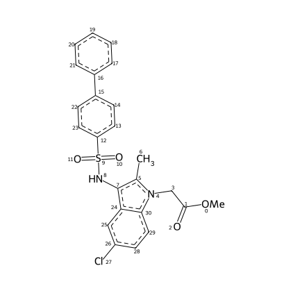 COC(=O)Cn1c(C)c(NS(=O)(=O)c2ccc(-c3ccccc3)cc2)c2cc(Cl)ccc21